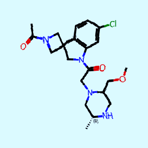 COCC1CN[C@H](C)CN1CC(=O)N1CC2(CN(C(C)=O)C2)c2ccc(Cl)cc21